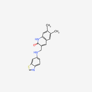 Cc1cc2cc(CNc3ccc4ncsc4c3)c(=O)[nH]c2cc1C